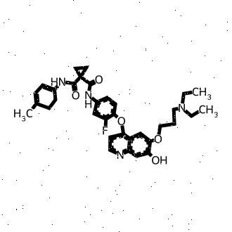 CCN(CC)CCCOc1cc2c(Oc3ccc(NC(=O)C4(C(=O)NC5=CC=C(C)CC5)CC4)cc3F)ccnc2cc1O